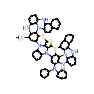 Cc1cc2c3c4c1Nc1cccc5c1N4c1c(cc4ccccc4c1N5)B3c1sc3c4c1N2c1ccccc1N4c1cc(N(c2ccccc2)c2ccccc2)c2c4c1B3c1cc3ccccc3c3c1N4c1c(cccc1N3)N2